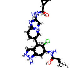 C=CC(=O)Nc1cc2[nH]ncc2c(-c2ccc3nc(NC(=O)C4CC4)cn3c2)c1Cl